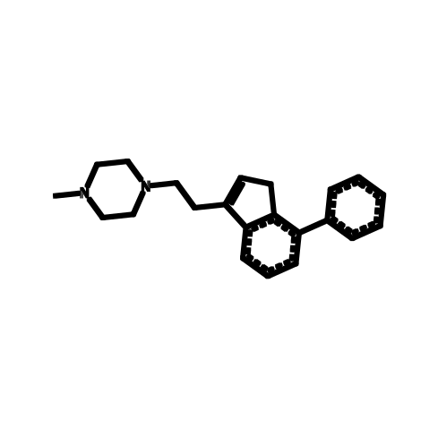 CN1CCN(CCC2=CCc3c2cccc3-c2ccccc2)CC1